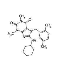 Cc1ccc(C)c(Cn2c(NC3CCCCC3)nc3c2c(=O)n(C)c(=O)n3C)c1